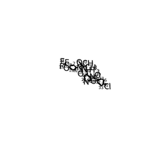 CC1(C)C(=O)N(c2ccc(OC(F)(F)F)cc2)C(=O)N1Cc1ccncc1NS(=O)(=O)c1ccc(Cl)cc1